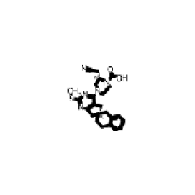 CSc1nc2c(c(N3CCN(C(=O)O)[C@@H](CC#N)C3)n1)C[C@]1(CCc3ccccc3C1)C2